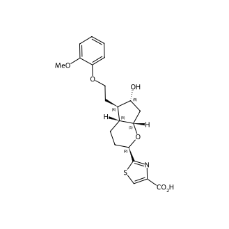 COc1ccccc1OCC[C@@H]1[C@H]2CC[C@H](c3nc(C(=O)O)cs3)O[C@H]2C[C@H]1O